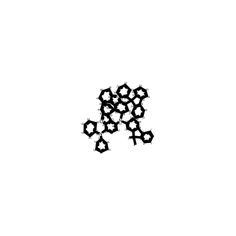 CC1(C)c2ccccc2-c2ccc(N(c3cc(C4(c5ccccc5)c5ccccc5-c5ccccc54)c4oc5ccccc5c4c3)c3ccc(N(c4ccccc4)c4ccccc4)c4oc5ccccc5c34)cc21